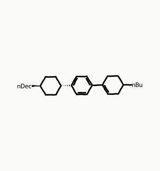 CCCCCCCCCC[C@H]1CC[C@H](c2ccc(C3=CCC(CCCC)CC3)cc2)CC1